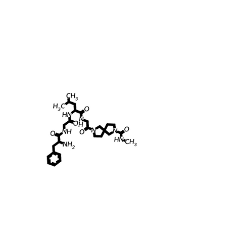 CNC(=O)N1CCC2(CCN(C(=O)CNC(=O)C(CC(C)C)NC(=O)CNC(=O)C(N)Cc3ccccc3)C2)C1